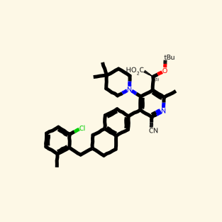 Cc1cccc(Cl)c1CC1CCc2cc(-c3c(C#N)nc(C)c([C@H](OC(C)(C)C)C(=O)O)c3N3CCC(C)(C)CC3)ccc2C1